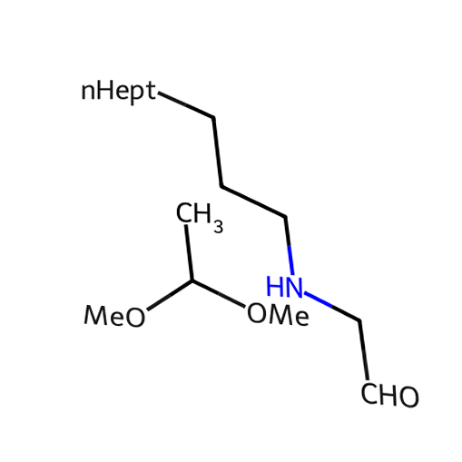 CCCCCCCCCCNCC=O.COC(C)OC